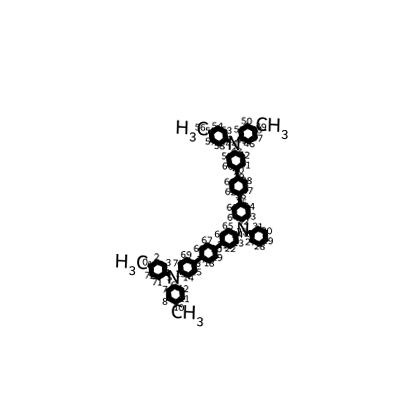 Cc1ccc(N(c2ccc(C)cc2)c2ccc(-c3ccc(-c4ccc(N(c5ccccc5)c5ccc(-c6ccc(-c7ccc(N(c8ccc(C)cc8)c8ccc(C)cc8)cc7)cc6)cc5)cc4)cc3)cc2)cc1